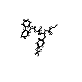 CCOC(=O)CC(Cc1ccc(OS(C)(=O)=O)cc1)NC(=O)OCC1c2ccccc2-c2ccccc21